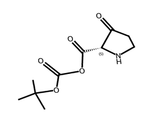 CC(C)(C)OC(=O)OC(=O)[C@H]1NCCC1=O